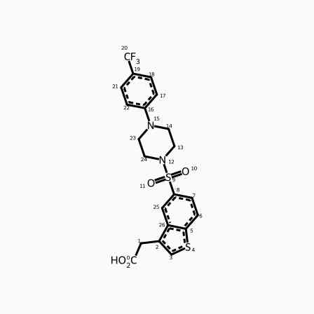 O=C(O)Cc1csc2ccc(S(=O)(=O)N3CCN(c4ccc(C(F)(F)F)cc4)CC3)cc12